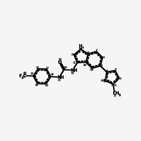 Cn1ccc(-c2ccc3[nH]cc(NC(=O)Nc4ccc(C(F)(F)F)cc4)c3c2)n1